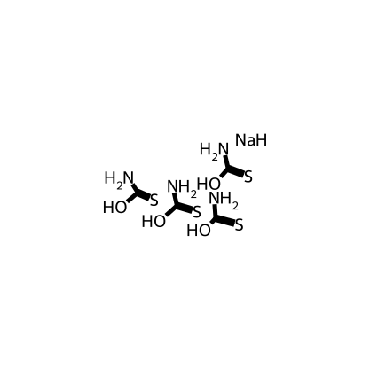 NC(O)=S.NC(O)=S.NC(O)=S.NC(O)=S.[NaH]